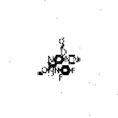 CCOC(=O)c1cnc2cc(OCCOC)c(N3CCN(C)CC3)cc2c1Nc1ccc(F)cc1F